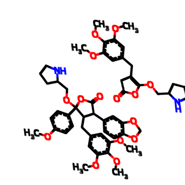 COc1cc(CC2=C(OCC3CCCN3)OC(=O)C2)cc(OC)c1OC.COc1ccc(C2(OCC3CCCN3)OC(=O)C(c3ccc4c(c3)OCO4)C2Cc2cc(OC)c(OC)c(OC)c2)cc1